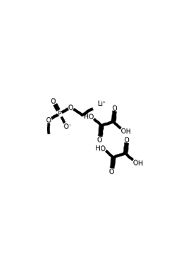 CCOP(=O)([O-])OC.O=C(O)C(=O)O.O=C(O)C(=O)O.[Li+]